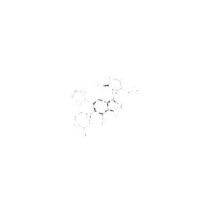 CSCC1COC(=O)N1c1noc2c(F)c(N3C[C@@H](C)O[C@H](C)C3)c(C3OCCO3)cc12